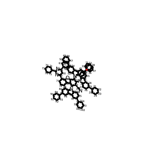 N#Cc1c(-n2c3ccc(-c4ccccc4)cc3c3cc(-c4ccccc4)ccc32)c(-n2c3ccc(-c4ccccc4)cc3c3cc(-c4ccccc4)ccc32)c2oc3c(-c4cc(-c5ccccc5)nc(-c5ccccc5)n4)cccc3c2c1-n1c2ccc(-c3ccccc3)cc2c2cc(-c3ccccc3)ccc21